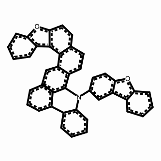 c1ccc(-c2ccccc2N(c2ccc3oc4ccccc4c3c2)c2cccc3c2ccc2ccc4oc5ccccc5c4c23)cc1